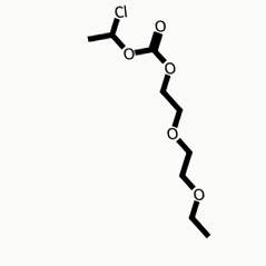 CCOCCOCCOC(=O)OC(C)Cl